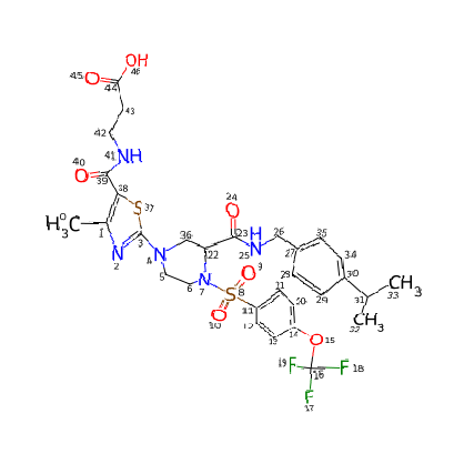 Cc1nc(N2CCN(S(=O)(=O)c3ccc(OC(F)(F)F)cc3)C(C(=O)NCc3ccc(C(C)C)cc3)C2)sc1C(=O)NCCC(=O)O